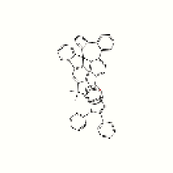 CC1(C)c2ccccc2-c2cc3c(cc21)-c1ccccc1C31c2ccccc2-c2ccccc2-c2ccc(-c3ccc4c(c3)nc(-c3ccccc3)n4-c3ccccc3)cc21